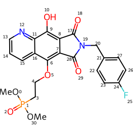 COP(=O)(CCOc1c2c(c(O)c3ncccc13)C(=O)N(Cc1ccc(F)cc1)C2=O)OC